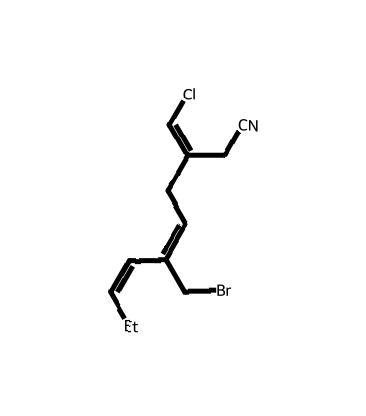 CC/C=C\C(=C/C/C(=C/Cl)CC#N)CBr